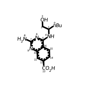 CCCCC(CO)Nc1nc(N)nc2cc(C(=O)O)ccc12